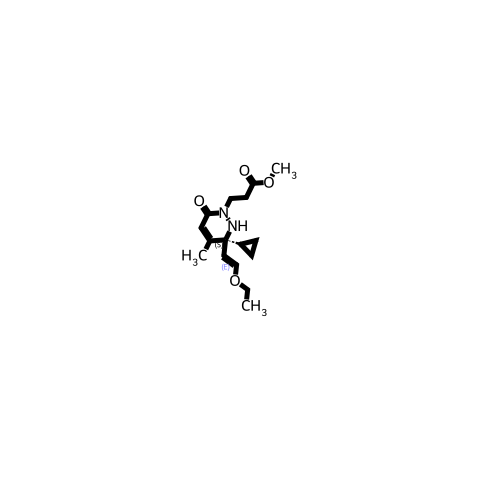 CCO/C=C/[C@]1(C2CC2)NN(CCC(=O)OC)C(=O)C=C1C